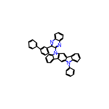 c1ccc(-c2cccc(-c3nc4ccccc4nc3-n3c4ccccc4c4cc5c(cc43)c3ccccc3n5-c3ccccc3)c2)cc1